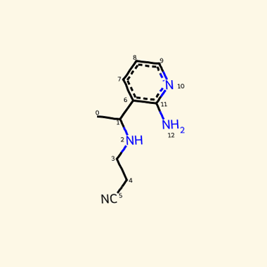 CC(NCCC#N)c1cccnc1N